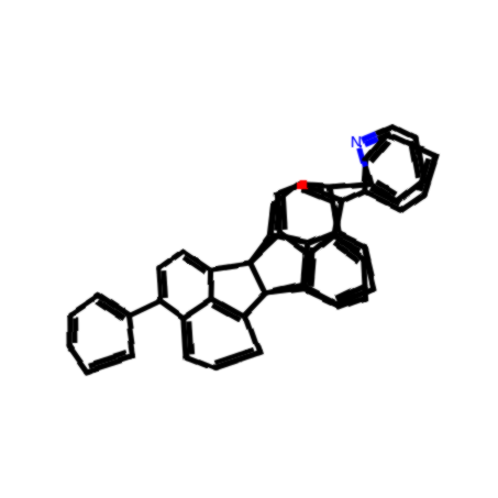 c1ccc(-c2ccc3c4c(cccc24)C24c5cccc6c(-c7ccccc7)ccc(c56)C32c2ccc(-c3ccccn3)c3cccc4c23)cc1